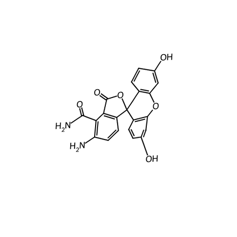 NC(=O)c1c(N)ccc2c1C(=O)OC21c2ccc(O)cc2Oc2cc(O)ccc21